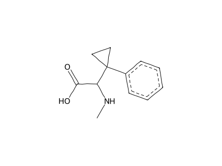 CNC(C(=O)O)C1(c2ccccc2)CC1